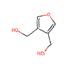 OCc1cocc1CO